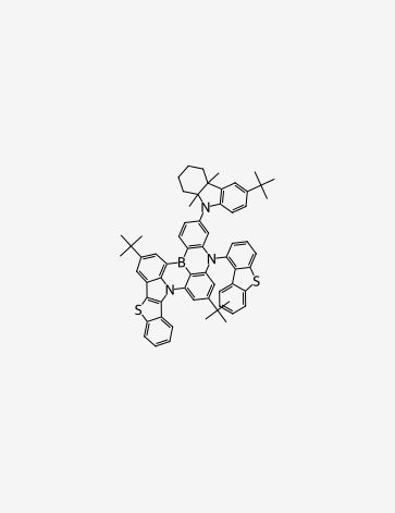 CC(C)(C)c1cc2c3c(c1)-n1c4c(cc(C(C)(C)C)cc4c4sc5ccccc5c41)B3c1ccc(N3c4ccc(C(C)(C)C)cc4C4(C)CCCCC34C)cc1N2c1cccc2sc3ccccc3c12